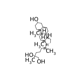 C[C@H](CCCC(C)(O)CO)[C@H]1CC[C@H]2[C@@H]3CC=C4CC(O)CC[C@]4(C)[C@H]3CC[C@]12C